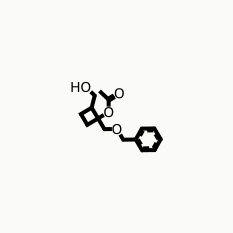 CC(=O)OC1(COCc2ccccc2)CCC1CO